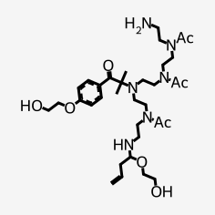 C=CCC(NCCN(CCN(CCN(CCN(CCN)C(C)=O)C(C)=O)C(C)(C)C(=O)c1ccc(OCCO)cc1)C(C)=O)OCCO